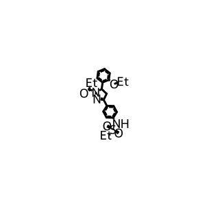 CCOc1ccccc1C1CC(c2ccc(NS(=O)(=O)CC)cc2)=NN1C(=O)CC